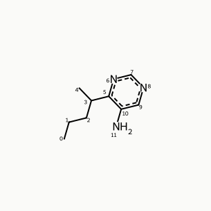 CCCC(C)c1ncncc1N